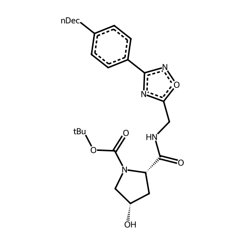 CCCCCCCCCCc1ccc(-c2noc(CNC(=O)[C@@H]3C[C@H](O)CN3C(=O)OC(C)(C)C)n2)cc1